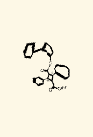 O=C(O)C1[C@@H](c2ccccc2)C(C(=O)Oc2cccc(-c3ccccc3)c2)[C@H]1c1ccccc1